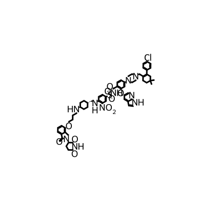 CC1(C)CCC(CN2CCN(c3ccc(C(=O)NS(=O)(=O)c4ccc(NC[C@H]5CC[C@H](NCCCCOc6cccc7c6CN(C6CCC(=O)NC6=O)C7=O)CC5)c([N+](=O)[O-])c4)c(Oc4cnc5[nH]ccc5c4)c3)CC2)=C(c2ccc(Cl)cc2)C1